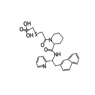 O=C(NC(Cc1ccc2ccccc2c1)c1ccccn1)C1CCCCN1C(=O)CSCP(=O)(O)O